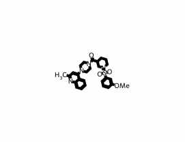 COc1cccc(S(=O)(=O)N2CCCC(C(=O)N3CCN(c4cc(C)nc5ccccc45)CC3)C2)c1